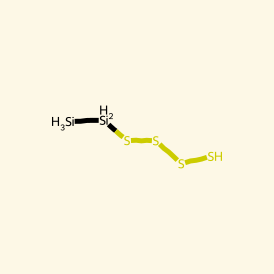 [SiH3][SiH2]SSSS